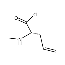 C=CC[C@H](NC)C(=O)Cl